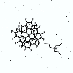 CCC[NH+](CCC)CCC.Fc1c(F)c(F)c2c([B-](c3c(F)c(F)c(F)c4c(F)c(F)c(F)c(F)c34)(c3c(F)c(F)c(F)c4c(F)c(F)c(F)c(F)c34)c3c(F)c(F)c(F)c4c(F)c(F)c(F)c(F)c34)c(F)c(F)c(F)c2c1F